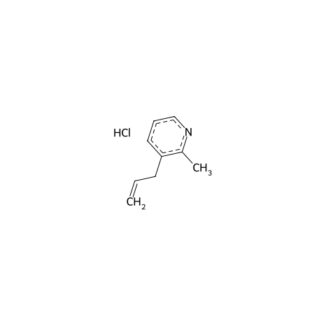 C=CCc1cccnc1C.Cl